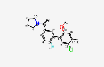 C=C(c1ccc(F)c(-c2cc(Cl)c(C)cc2OC)c1)N1CCCC1